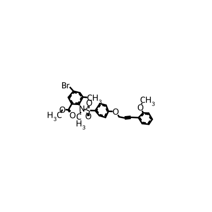 COC(=O)c1cc(Br)cc(C)c1N(C)S(=O)(=O)c1ccc(OCC#Cc2ccccc2OC)cc1